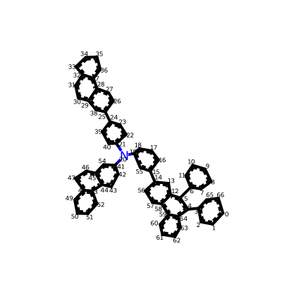 c1ccc(-c2c(-c3ccccc3)c3cc(-c4cccc(N(c5ccc(-c6ccc7c(ccc8ccccc87)c6)cc5)c5ccc6c(ccc7ccccc76)c5)c4)ccc3c3ccccc23)cc1